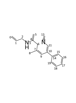 C=CCNC(=C)C/C(C)=C\C(=C/N=C)c1ccccc1